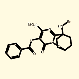 CCNC12CCC(CC1)Cn1c2nc(C(=O)OCC)c(OC(=O)c2ccccc2)c1=O